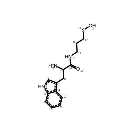 NC(Cc1c[nH]c2ccccc12)C(=O)NCCCSO